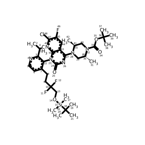 CC(C)c1nccc(CCC(F)(F)CO[Si](C)(C)C(C)(C)C)c1-n1c(=O)nc(N2C[C@@H](C)N(C(=O)OC(C)(C)C)C[C@@H]2C)c2cc(F)c(Cl)nc21